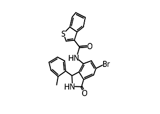 Cc1ccccc1C1NC(=O)c2cc(Br)cc(NC(=O)c3csc4ccccc34)c21